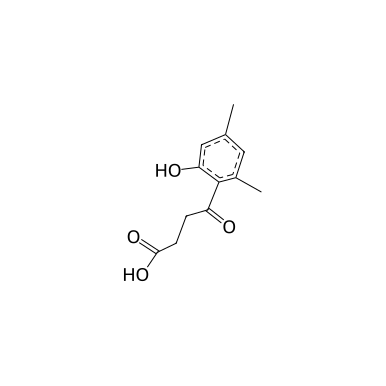 Cc1cc(C)c(C(=O)CCC(=O)O)c(O)c1